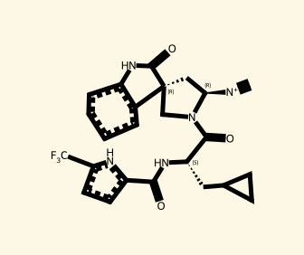 C#[N+][C@@H]1C[C@@]2(CN1C(=O)[C@H](CC1CC1)NC(=O)c1ccc(C(F)(F)F)[nH]1)C(=O)Nc1ccccc12